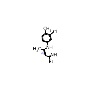 CCC(=N)/C=C(/C)Nc1ccc(C)c(Cl)c1